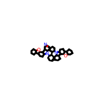 N#Cc1ccc(-n2c3ccccc3c3c4oc5ccccc5c4ccc32)c(C2=C(n3c4ccccc4c4c5oc6ccccc6c5ccc43)C=CC#CC2)c1